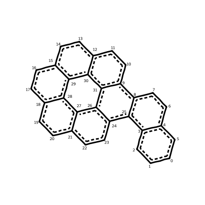 c1ccc2c(c1)ccc1c3ccc4ccc5ccc6ccc7ccc(c21)c1c7c6c5c4c31